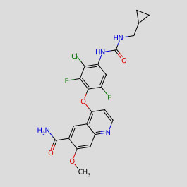 COc1cc2nccc(Oc3c(F)cc(NC(=O)NCC4CC4)c(Cl)c3F)c2cc1C(N)=O